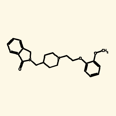 COc1ccccc1OCCN1CCC(CN2Cc3ccccc3C2=O)CC1